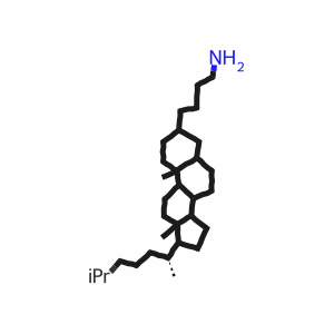 CC(C)CCC[C@@H](C)C1CCC2C3CCC4CC(CCCCN)CCC4(C)C3CCC21C